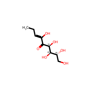 CCC=C(O)C(=O)[C@@H](O)[C@H](O)[C@H](O)CO